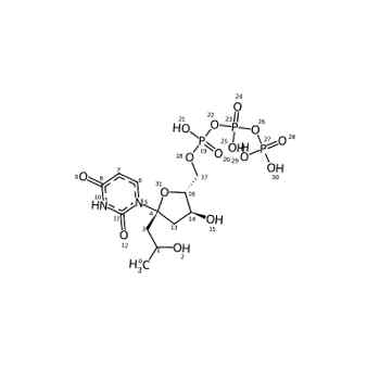 CC(O)C[C@]1(n2ccc(=O)[nH]c2=O)C[C@H](O)[C@@H](COP(=O)(O)OP(=O)(O)OP(=O)(O)O)O1